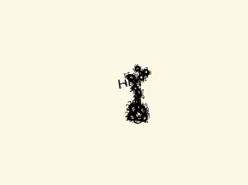 c1ccc(-n2c3ccccc3c3ccc(C4=NC(c5ccc6cc(-n7c8ccc9cccc%10oc%11cccc%12ccc7c(c%12%11)c8c9%10)ccc6c5)Nc5ccccc54)cc32)cc1